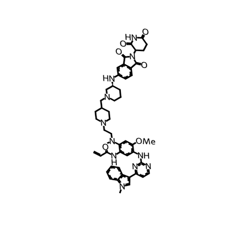 C=CC(=O)Nc1cc(Nc2nccc(-c3cn(C)c4ccccc34)n2)c(OC)cc1N(C)CCN1CCC(CN2CCC[C@H](Nc3ccc4c(c3)C(=O)N(C3CCC(=O)NC3=O)C4=O)C2)CC1